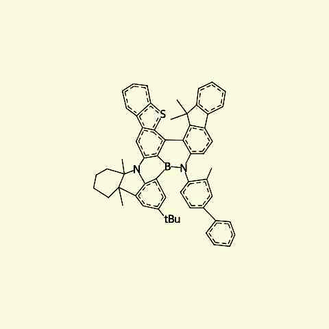 Cc1cc(-c2ccccc2)ccc1N1B2c3cc(C(C)(C)C)cc4c3N(c3cc5c(sc6ccccc65)c(c32)-c2c1ccc1c2C(C)(C)c2ccccc2-1)C1(C)CCCCC41C